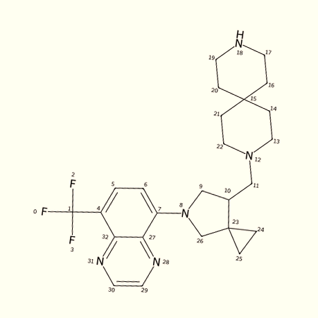 FC(F)(F)c1ccc(N2CC(CN3CCC4(CCNCC4)CC3)C3(CC3)C2)c2nccnc12